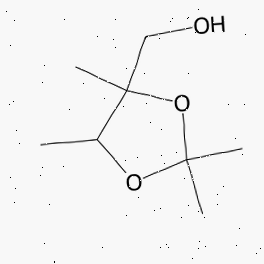 CC1OC(C)(C)OC1(C)CO